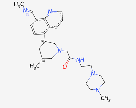 C/N=C/c1ccc([C@H]2C[C@@H](C)CN(CC(=O)NCCN3CCN(C)CC3)C2)c2cccnc12